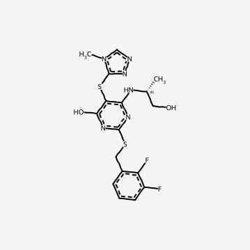 C[C@H](CO)Nc1nc(SCc2cccc(F)c2F)nc(O)c1Sc1nncn1C